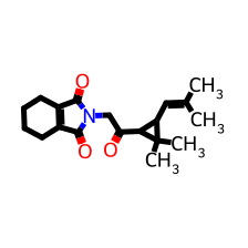 CC(C)=CC1C(C(=O)CN2C(=O)C3=C(CCCC3)C2=O)C1(C)C